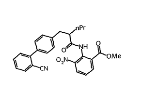 CCCC(Cc1ccc(-c2ccccc2C#N)cc1)C(=O)Nc1c(C(=O)OC)cccc1[N+](=O)[O-]